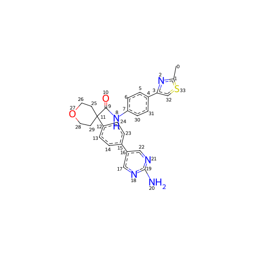 Cc1nc(-c2ccc(NC(=O)C3(c4ccc(-c5cnc(N)nc5)cc4)CCOCC3)cc2)cs1